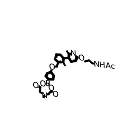 CC(=O)NCCCOc1ccc(-c2cccc(COc3ccc(B4OC(=O)CN(C)CC(=O)O4)cc3)c2C)c(C)n1